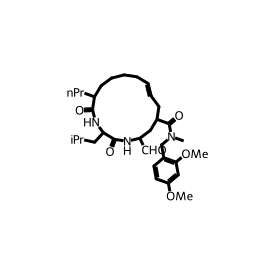 CCCC1CCCC/C=C/CC(C(=O)N(C)Cc2ccc(OC)cc2OC)CC(C=O)NC(=O)C(CC(C)C)NC1=O